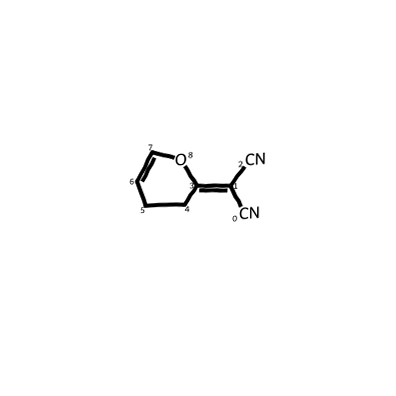 N#CC(C#N)=C1CCC=CO1